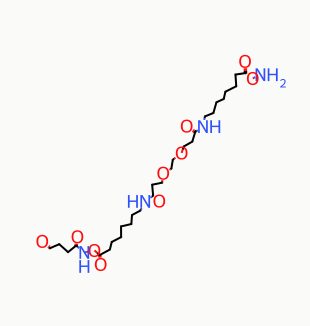 NOC(=O)CCCCCCCNC(=O)CCOCCOCCC(=O)NCCCCCCCC(=O)ONC(=O)CCC=O